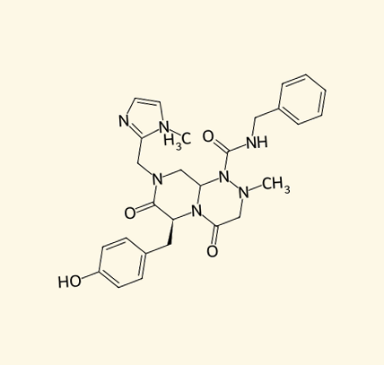 CN1CC(=O)N2C(CN(Cc3nccn3C)C(=O)[C@@H]2Cc2ccc(O)cc2)N1C(=O)NCc1ccccc1